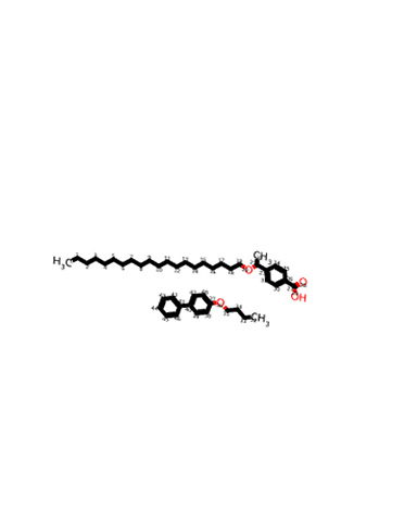 CCCCCCCCCCCCCCCCCCCCOC(C)c1ccc(C(=O)O)cc1.CCCCOc1ccc(-c2ccccc2)cc1